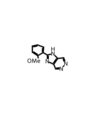 COc1ccccc1-c1nc2cnncc2[nH]1